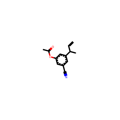 [CH2]C(C=C)c1cc(C#N)cc(OC(C)=O)c1